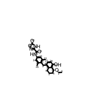 CCO[C@@H]1CCCc2c(Cc3c(C)cc(NC(=O)c4noc(=O)[nH]4)cc3C)ccc(O)c21